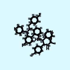 CC(=O)NC(c1ccc(F)cc1)C(Nc1[c]ccc(F)c1-c1ccc(F)cc1N(CCc1ccc(F)cc1)c1ccncc1)c1ccncc1